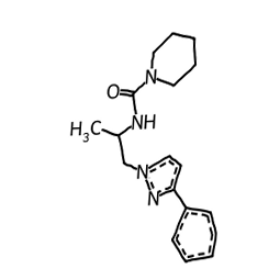 CC(Cn1ccc(-c2ccccc2)n1)NC(=O)N1CCCCC1